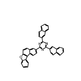 c1ccc2cc(-c3nc(-c4ccc5ccccc5c4)nc(-c4ccc5c(ccc6oc7ccccc7c65)c4)n3)ccc2c1